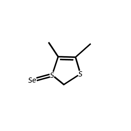 CC1=C(C)S(=[Se])CS1